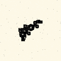 CCc1[nH]c2ncc(Br)nc2c(=O)c1N1CCN(C(=O)OC(C)(C)C)CC1